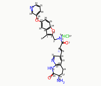 Cc1c(CN(C)C(=O)/C=C/c2cnc3c(c2)CCC(N)C(=O)N3)oc2ccc(Oc3cccnc3)cc12.Cl